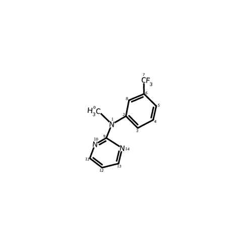 CN(c1cccc(C(F)(F)F)c1)c1ncccn1